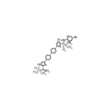 CC(C)(C)[C@H](N)c1nc(-c2ccc(-c3ccc(-c4c[nH]c([C@@H](Nc5ncc(Br)cn5)C(C)(C)C)n4)cc3)cc2)c[nH]1